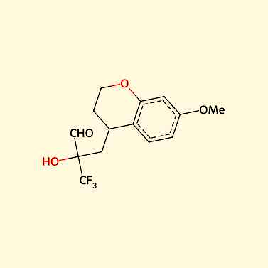 COc1ccc2c(c1)OCCC2CC(O)(C=O)C(F)(F)F